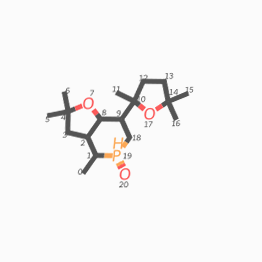 CC1C2CC(C)(C)OC2C(C2(C)CCC(C)(C)O2)C[PH]1=O